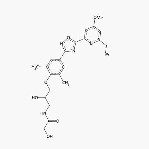 COc1cc(CC(C)C)nc(-c2nc(-c3cc(C)c(OCC(O)CNC(=O)CO)c(C)c3)no2)c1